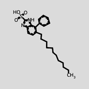 CCCCCCCCCCCCc1ccc2nc(S(=O)(=O)O)[nH]c2c1-c1ccccc1